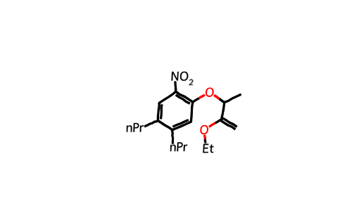 C=C(OCC)C(C)Oc1cc(CCC)c(CCC)cc1[N+](=O)[O-]